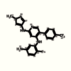 Cn1cc(Nc2cc(Nc3cc(N)ccc3F)c(-c3ccc(C(F)(F)F)cc3)cn2)cn1